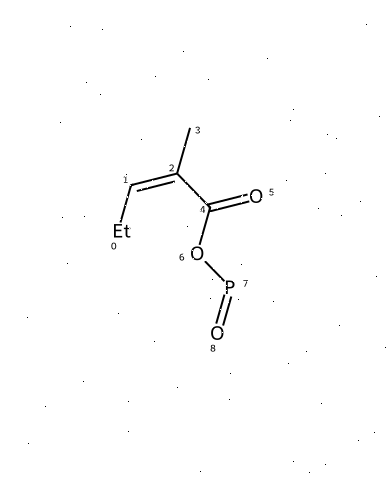 CCC=C(C)C(=O)OP=O